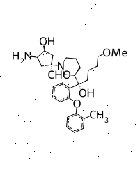 COCCCC[C@@](O)(c1ccccc1Oc1ccccc1C)[C@@H]1CCCN([C@@]2(C=O)C[C@@H](N)[C@@H](O)C2)C1